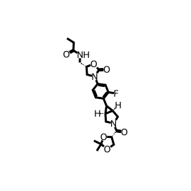 CCC(=O)NC[C@H]1CN(c2ccc(C3[C@H]4CN(C(=O)[C@@H]5COC(C)(C)O5)C[C@@H]34)c(F)c2)C(=O)O1